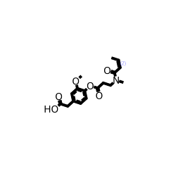 C/C=C\C(=O)N(C)CCC(=O)Oc1ccc(CC(=O)O)cc1OC